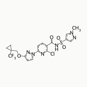 Cn1cc(S(=O)(=O)NC(=O)c2ccc(-n3ccc(OCC4(C(F)(F)F)CC4)n3)nc2Cl)cn1